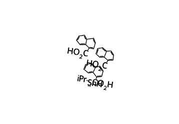 C[CH](C)[SnH].O=C(O)c1cccc2ccccc12.O=C(O)c1cccc2ccccc12.O=C(O)c1cccc2ccccc12